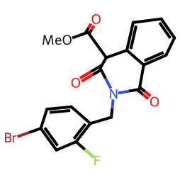 COC(=O)C1C(=O)N(Cc2ccc(Br)cc2F)C(=O)c2ccccc21